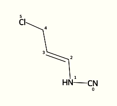 N#CNC=CCCl